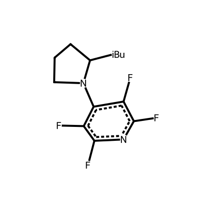 CCC(C)C1CCCN1c1c(F)c(F)nc(F)c1F